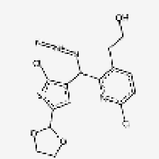 [N-]=[N+]=NC(c1cc(C2OCCO2)sc1Cl)c1nc(Cl)ccc1CCO